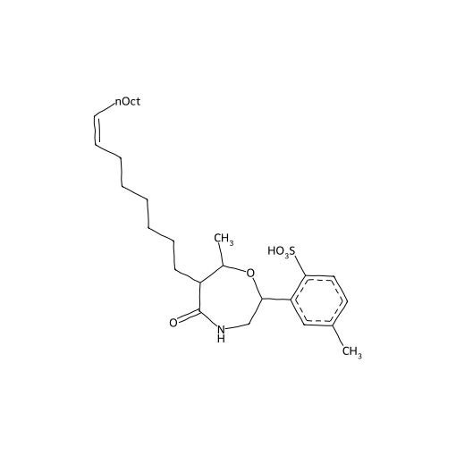 CCCCCCCC/C=C\CCCCCCC1C(=O)NCC(c2cc(C)ccc2S(=O)(=O)O)OC1C